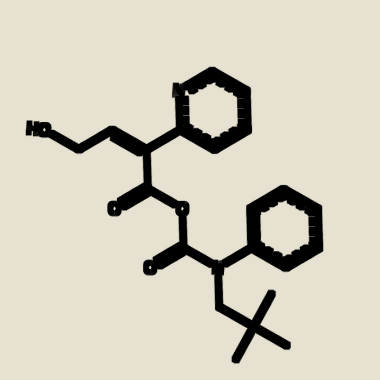 CC(C)(C)CN(C(=O)OC(=O)C(=CCO)c1ccccn1)c1ccccc1